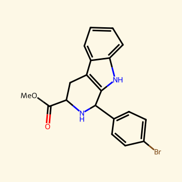 COC(=O)C1Cc2c([nH]c3ccccc23)C(c2ccc(Br)cc2)N1